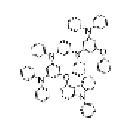 c1ccc(Oc2cc(N(c3ccccc3)c3ccccc3)cc(N(c3ccccc3)c3cccc(N(c4ccccc4)c4cc(Oc5cccc6c5c5ccccc5n6-c5ccccc5)cc(N(c5ccccc5)c5ccccc5)c4)c3)c2)cc1